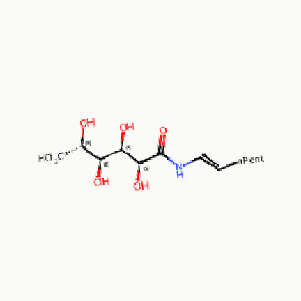 CCCCCC=CNC(=O)[C@@H](O)[C@H](O)[C@@H](O)[C@@H](O)C(=O)O